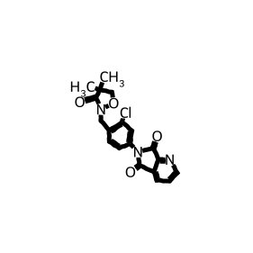 CC1(C)CON(Cc2ccc(N3C(=O)c4cccnc4C3=O)cc2Cl)C1=O